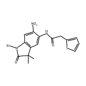 CCN1C(=O)C(C)(C)c2cc(NC(=O)Cc3cccs3)c([N+](=O)[O-])cc21